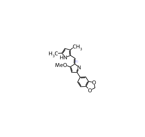 COC1=CC(c2ccc3c(c2)OCO3)=N/C1=C/c1[nH]c(C)cc1C